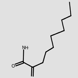 C=C(CCCCCCCC)C([NH])=O